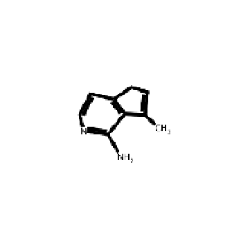 CC1=CCc2ccnc(N)c21